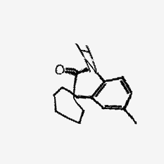 Cc1ccc2c(c1)C1(CCCCC1)C(=O)N2